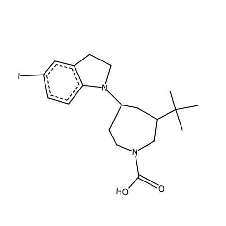 CC(C)(C)C1CC(N2CCc3cc(I)ccc32)CCN(C(=O)O)C1